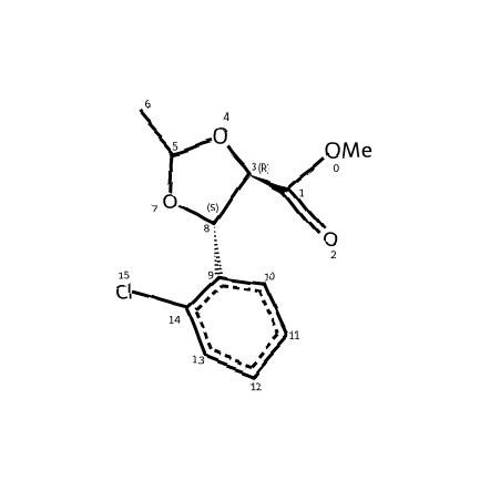 COC(=O)[C@@H]1OC(C)O[C@H]1c1ccccc1Cl